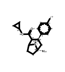 CN1C2CC[C@@H]1C[C@H](c1ccc(I)cc1)C2C(=O)OC1CC1